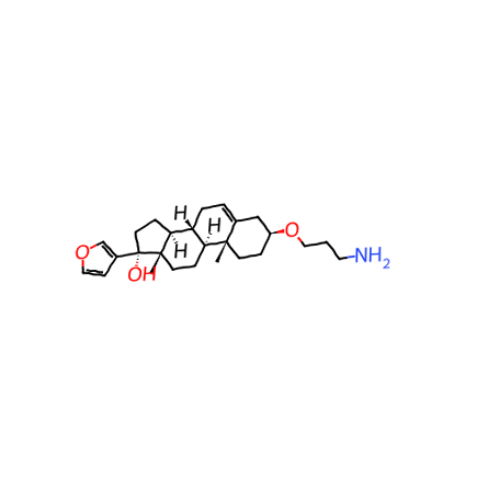 C[C@]12CC[C@H](OCCCN)CC1=CC[C@@H]1[C@@H]2CC[C@@]2(C)[C@H]1CC[C@]2(O)c1ccoc1